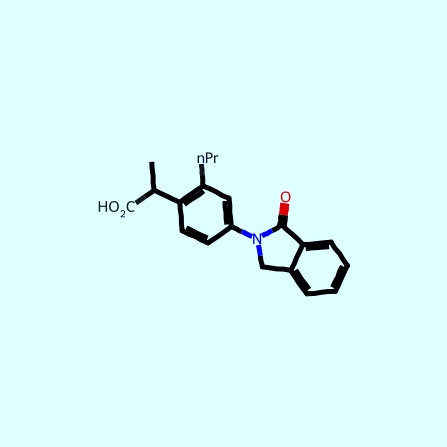 CCCc1cc(N2Cc3ccccc3C2=O)ccc1C(C)C(=O)O